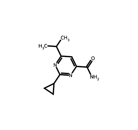 CC(C)c1cc(C(N)=O)nc(C2CC2)n1